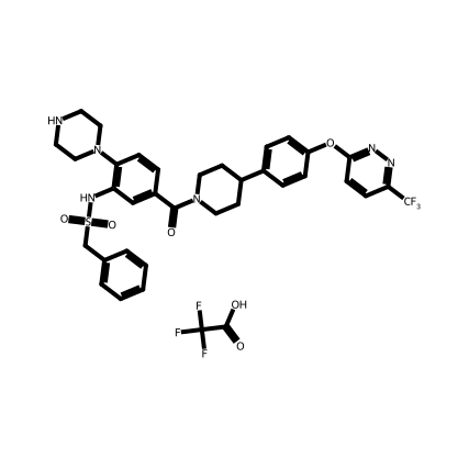 O=C(O)C(F)(F)F.O=C(c1ccc(N2CCNCC2)c(NS(=O)(=O)Cc2ccccc2)c1)N1CCC(c2ccc(Oc3ccc(C(F)(F)F)nn3)cc2)CC1